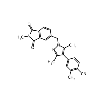 Cc1cc(-c2c(C)nn(Cc3ccc4c(c3)C(=O)N(C)C4=O)c2C)ccc1C#N